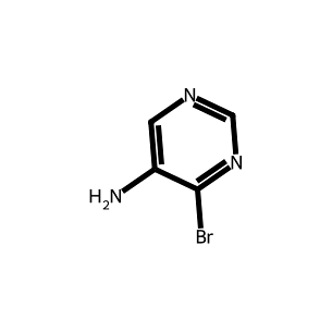 Nc1cncnc1Br